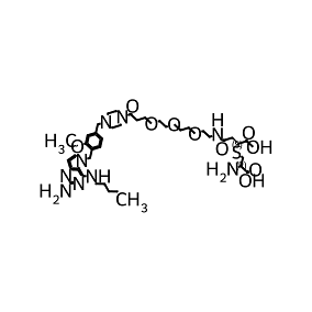 CCCCCNc1nc(N)nc2ccn(Cc3ccc(CN4CCN(C(=O)CCOCCOCCOCCNC(=O)C[C@H](SC[C@H](N)C(=O)O)C(=O)O)CC4)cc3OC)c12